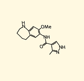 COc1cc2c(cc1NC(=O)c1c[nH]nc1C)CCCCN2